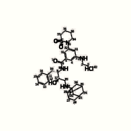 CCNc1cc(C(=O)N[C@@H](Cc2ccccc2)[C@H](O)CNC23CC4CC(CC(C4)C2)C3)cc(N2CCCCS2(=O)=O)c1.Cl